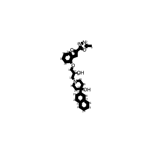 Cc1nnc(-c2cc3c(OC[C@@H](O)CN4CCC(O)(c5ccc6ccccc6c5)CC4)cccc3o2)o1